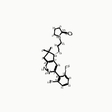 CC1(C)Cc2nnc(-c3c(F)cccc3F)cc2[C@H]1CCCN1CCCC1=O